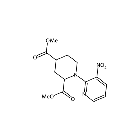 COC(=O)C1CCN(c2ncccc2[N+](=O)[O-])C(C(=O)OC)C1